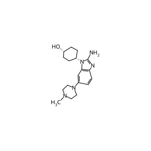 CN1CCN(c2ccc3nc(N)n([C@H]4CC[C@@H](O)CC4)c3c2)CC1